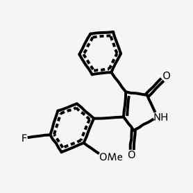 COc1cc(F)ccc1C1=C(c2ccccc2)C(=O)NC1=O